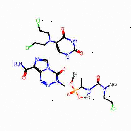 CCOP(=O)(OCC)C(C)NC(=O)N(CCCl)N=O.Cn1nnc2c(C(N)=O)ncn2c1=O.O=c1[nH]cc(N(CCCl)CCCl)c(=O)[nH]1